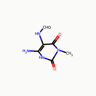 Cn1c(=O)[nH]c(N)c(NC=O)c1=O